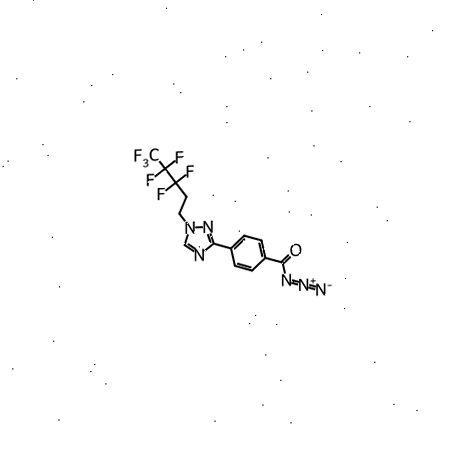 [N-]=[N+]=NC(=O)c1ccc(-c2ncn(CCC(F)(F)C(F)(F)C(F)(F)F)n2)cc1